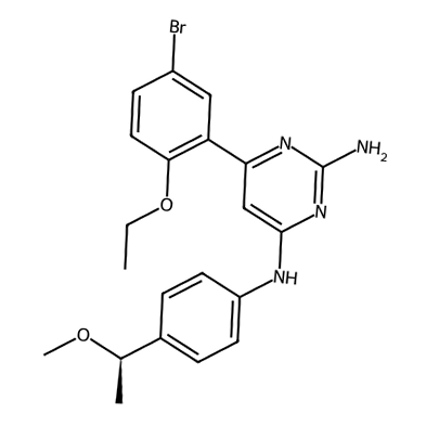 CCOc1ccc(Br)cc1-c1cc(Nc2ccc([C@@H](C)OC)cc2)nc(N)n1